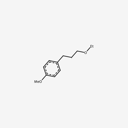 CCOC[CH]Cc1ccc(OC)cc1